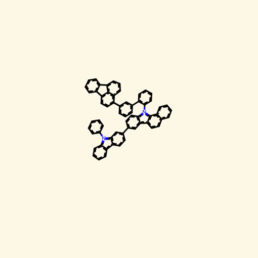 c1ccc(-n2c3ccccc3c3ccc(-c4ccc5c(c4)c4ccc6ccccc6c4n5-c4ccccc4-c4cccc(-c5ccc6c7c(cccc57)-c5ccccc5-6)c4)cc32)cc1